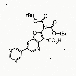 CC(C)(C)OC(=O)N(C(=O)OC(C)(C)C)c1oc2cc(-c3cncnc3)cnc2c1C(=O)O